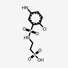 [NH]c1ccc(Cl)c(S(=O)(=O)NCCS(=O)(=O)O)c1